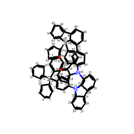 c1ccc([Si](c2ccccc2)(c2ccccc2)c2ccc(-n3c4ccccc4c4cccc(-n5c6ccccc6c6cc(-c7cccc8c7[Si](c7ccccc7)(c7ccccc7)c7ccccc7-8)ccc65)c43)cc2)cc1